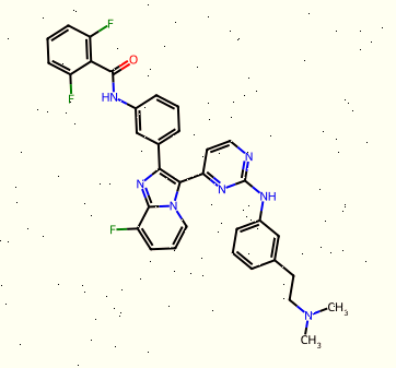 CN(C)CCc1cccc(Nc2nccc(-c3c(-c4cccc(NC(=O)c5c(F)cccc5F)c4)nc4c(F)cccn34)n2)c1